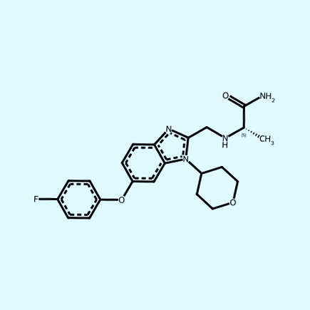 C[C@H](NCc1nc2ccc(Oc3ccc(F)cc3)cc2n1C1CCOCC1)C(N)=O